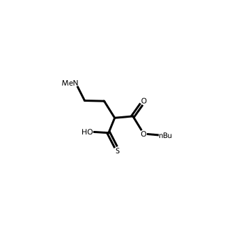 CCCCOC(=O)C(CCNC)C(O)=S